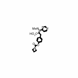 CNN(c1ccncn1)[C@@H](Cc1ccc(OC(=O)N2CCC2)cc1)C(=O)O